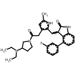 CCN(CC)C1CCN(C(=O)Cc2cc(C)[nH]c2/C=C2\C(=O)Nc3cccc(-c4cccc(F)c4)c32)C1